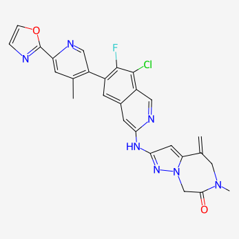 C=C1CN(C)C(=O)Cn2nc(Nc3cc4cc(-c5cnc(-c6ncco6)cc5C)c(F)c(Cl)c4cn3)cc21